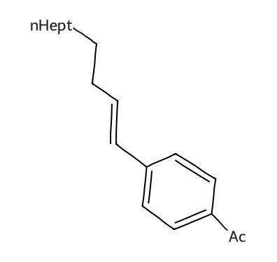 CCCCCCCCCC=Cc1ccc(C(C)=O)cc1